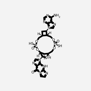 Nc1ncnc2c1ncn2[C@@H]1C[C@@H]2CO[P@](=O)(S)O[C@@H]3[C@H](F)[C@@H](CO[P@](=O)(S)OC[C@H]21)O[C@H]3n1cnc2c(=O)n3ccnc3[nH]c21